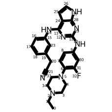 CCN1CCN(c2ccc(Nc3nc(Nc4cccc(CC#N)c4)c4cc[nH]c4n3)cc2F)CC1